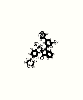 O=c1c2ccccc2c(-c2cc(Br)cc(-c3cnoc3)c2)nn1-c1cc(N2CCOCC2)ccc1[N+](=O)[O-]